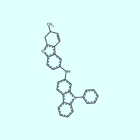 CC1C=Cc2c(oc3ccc(Nc4ccc5c6ccccc6n(-c6ccccc6)c5c4)cc23)C1